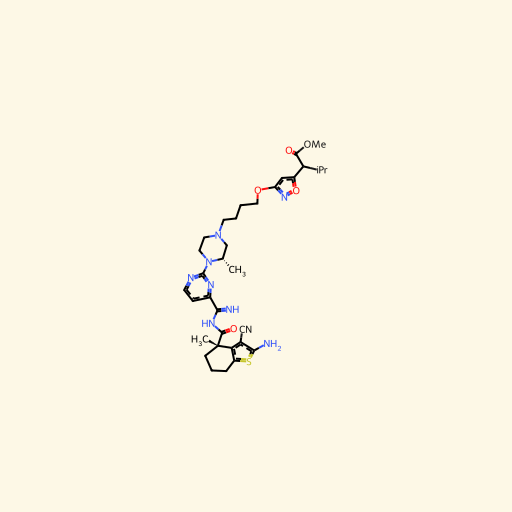 COC(=O)C(c1cc(OCCCCN2CCN(c3nccc(C(=N)NC(=O)[C@@]4(C)CCCc5sc(N)c(C#N)c54)n3)[C@@H](C)C2)no1)C(C)C